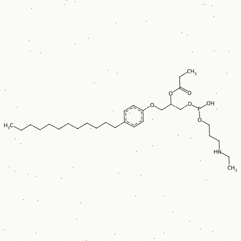 CCCCCCCCCCCCc1ccc(OCC(COP(O)OCCCNCC)OC(=O)CC)cc1